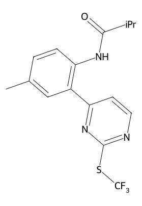 Cc1ccc(NC(=O)C(C)C)c(-c2ccnc(SC(F)(F)F)n2)c1